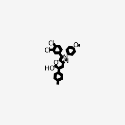 COc1ccc(-n2nc(C=C(C(=O)O)c3ccc(C)cc3)cc2-c2ccc(Cl)c(Cl)c2)cc1